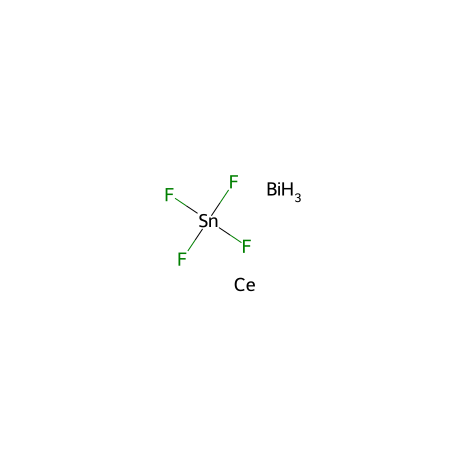 [BiH3].[Ce].[F][Sn]([F])([F])[F]